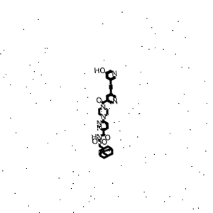 O=C(NS(=O)(=O)CC12CC3CC(CC(C3)C1)C2)c1ccc(N2CCN(C(=O)c3cncc(C#Cc4cncc(O)c4)c3)CC2)nn1